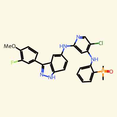 COc1ccc(-c2n[nH]c3ccc(Nc4cc(Nc5ccccc5P(C)(C)=O)c(Cl)cn4)cc23)cc1F